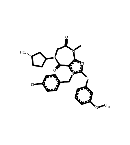 CN1C(=O)CN(C2CC[C@H](O)C2)C(=O)c2c1nc(Oc1cccc(OC(F)(F)F)c1)n2Cc1ccc(Cl)cc1